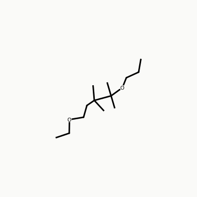 CCCOC(C)(C)C(C)(C)CCOCC